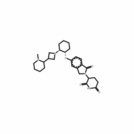 CN1CCCCC1C1CN([C@H]2CCCC[C@@H]2Oc2ccc3c(c2)CN(C2CCC(=O)NC2=O)C3=O)C1